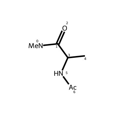 CNC(=O)C(C)NC(C)=O